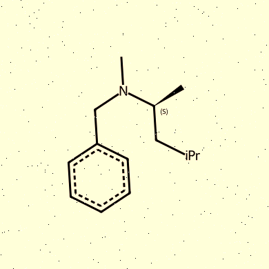 CC(C)C[C@H](C)N(C)Cc1ccccc1